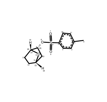 Cc1ccc(S(=O)(=O)O[C@@H]2C[C@@H]3CC[C@H]2O3)cc1